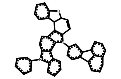 C1=CC2Oc3ccccc3C2c2c1n(-c1ccc3c(c1)-c1cccc4cccc-3c14)c1c2ccc2c1c1ccccc1n2-c1ccccc1